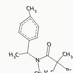 Cc1ccc(C(C)N(C#N)C(=O)C(C)(C)Br)cc1